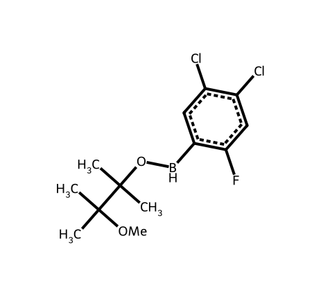 COC(C)(C)C(C)(C)OBc1cc(Cl)c(Cl)cc1F